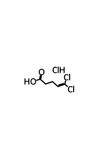 Cl.O=C(O)CCC=C(Cl)Cl